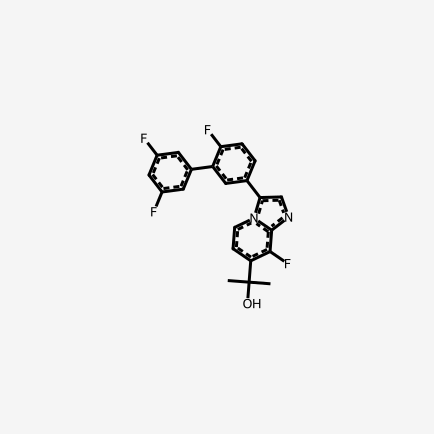 CC(C)(O)c1ccn2c(-c3ccc(F)c(-c4cc(F)cc(F)c4)c3)cnc2c1F